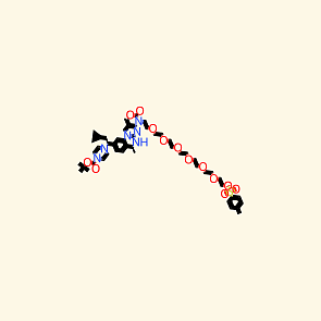 Cc1ccc(S(=O)(=O)OCCOCCOCCOCCOCCOCCOCCN2C(=O)OCc3cnc(N[C@@H](C)c4ccc([C@H](CC5CC5)N5CCN(C(=O)OC(C)(C)C)CC5)cc4)nc32)cc1